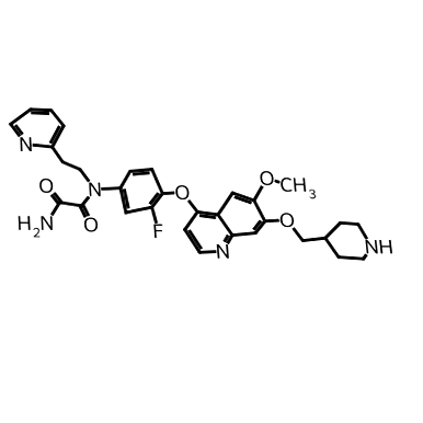 COc1cc2c(Oc3ccc(N(CCc4ccccn4)C(=O)C(N)=O)cc3F)ccnc2cc1OCC1CCNCC1